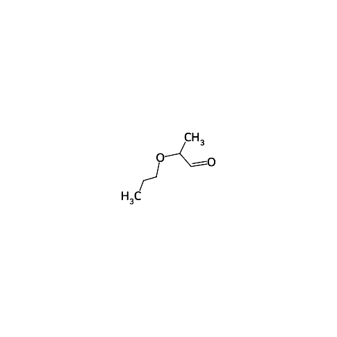 CCCOC(C)C=O